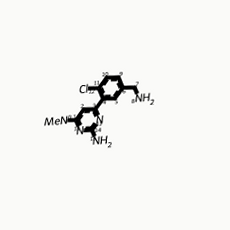 CNc1cc(-c2cc(CN)ccc2Cl)nc(N)n1